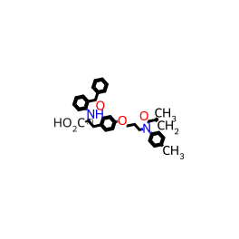 C=C(C)C(=O)N(CCCOc1ccc(C[C@H](Nc2ccccc2C(=O)c2ccccc2)C(=O)O)cc1)c1ccc(C)cc1